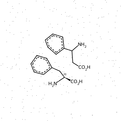 NC(CC(=O)O)c1ccccc1.N[C@@H](Cc1ccccc1)C(=O)O